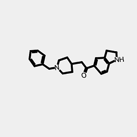 O=C(CC1CCN(Cc2ccccc2)CC1)c1ccc2c(c1)CCN2